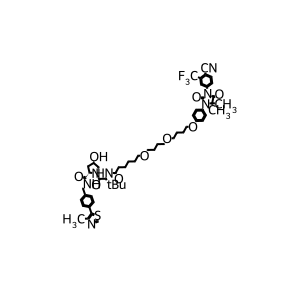 Cc1ncsc1-c1ccc(CNC(=O)[C@@H]2C[C@@H](O)CN2C(=O)C(NC(=O)CCCCCOCCCCOCCCCOc2ccc(N3C(=O)N(c4ccc(C#N)c(C(F)(F)F)c4)C(=O)C3(C)C)cc2)C(C)(C)C)cc1